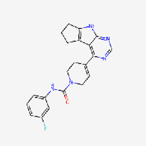 O=C(Nc1cccc(F)c1)N1CC=C(c2ncnc3[nH]c4c(c23)CCC4)CC1